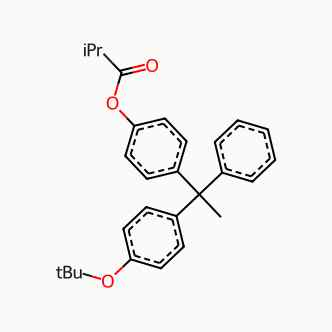 CC(C)C(=O)Oc1ccc(C(C)(c2ccccc2)c2ccc(OC(C)(C)C)cc2)cc1